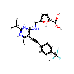 COC(=O)c1ccc(CNc2nc(C(C)C)nc(C)c2C#Cc2ccc(C(F)(F)F)cc2)o1